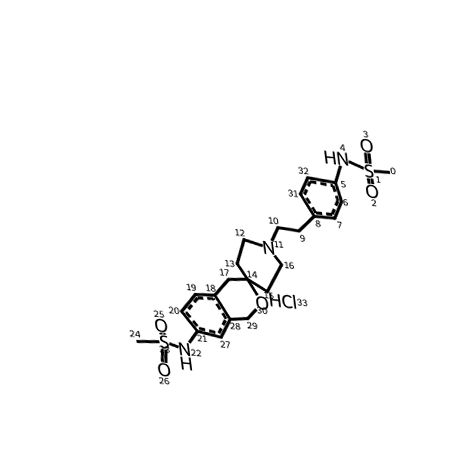 CS(=O)(=O)Nc1ccc(CCN2CCC3(CC2)Cc2ccc(NS(C)(=O)=O)cc2CO3)cc1.Cl